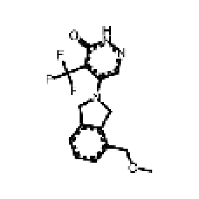 COCc1cccc2c1CN(c1cn[nH]c(=O)c1C(F)(F)F)C2